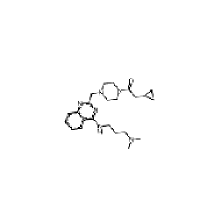 CN(C)CCCNc1nc(CN2CCN(C(=O)CC3CC3)CC2)nc2ccccc12